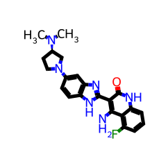 CN(C)[C@@H]1CCN(c2ccc3[nH]c(-c4c(N)c5c(F)cccc5[nH]c4=O)nc3c2)C1